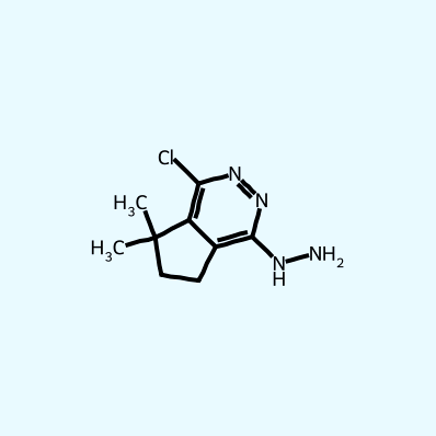 CC1(C)CCc2c(NN)nnc(Cl)c21